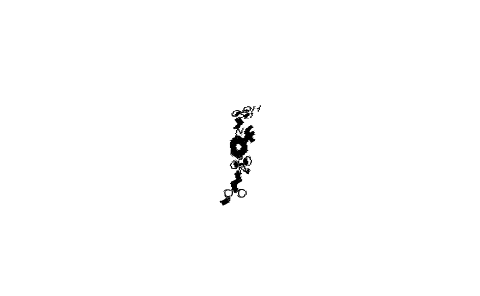 CCOC(=O)CCCN(C)S(=O)(=O)c1ccc2c(c1)C(C)(C)C(C)=[N+]2CCCS(=O)(=O)O